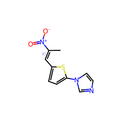 C/C(=C\c1ccc(-n2ccnc2)s1)[N+](=O)[O-]